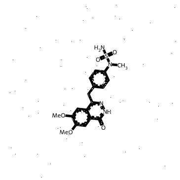 COc1cc2c(Cc3ccc(N(C)S(N)(=O)=O)cc3)n[nH]c(=O)c2cc1OC